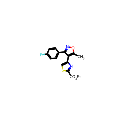 CCOC(=O)c1nc(-c2c(-c3ccc(F)cc3)noc2C)cs1